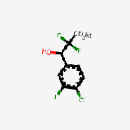 CCOC(=O)C(F)(F)C(O)c1ccc(Cl)c(F)c1